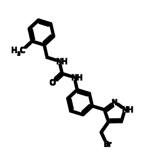 Cc1ccccc1CNC(=O)Nc1cccc(-c2n[nH]cc2CBr)c1